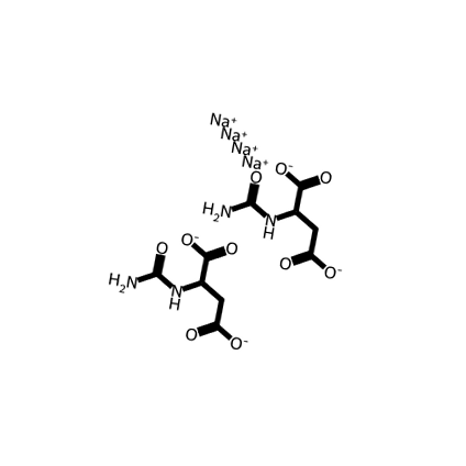 NC(=O)NC(CC(=O)[O-])C(=O)[O-].NC(=O)NC(CC(=O)[O-])C(=O)[O-].[Na+].[Na+].[Na+].[Na+]